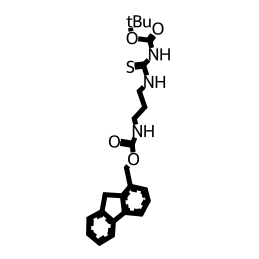 CC(C)(C)OC(=O)NC(=S)NCCCNC(=O)OCc1cccc2c1Cc1ccccc1-2